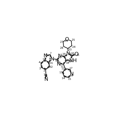 N#Cc1ccc2ncn(-c3nc(-c4cccnc4)c4[nH]c(=O)n(C5CCOCC5)c4n3)c2c1